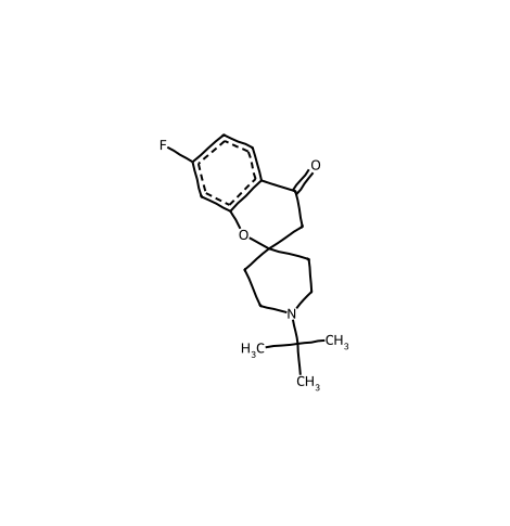 CC(C)(C)N1CCC2(CC1)CC(=O)c1ccc(F)cc1O2